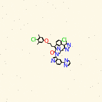 Cc1cc(OCCCc2c3n(c4c(-c5c(C)ncnc5C)c(Cl)ccc24)C(C)CN(c2cn(C)c4ccc(-c5ncccn5)cc24)C3=O)cc(C)c1Cl